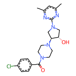 Cc1cc(C)nc(N2C[C@H](O)[C@@H](N3CCN(C(=O)c4ccc(Cl)cc4)CC3)C2)n1